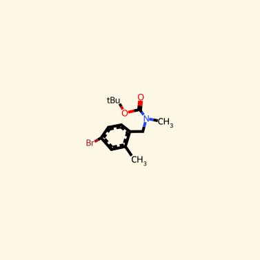 Cc1cc(Br)ccc1CN(C)C(=O)OC(C)(C)C